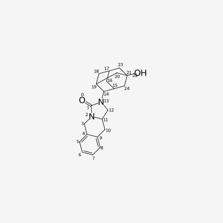 O=C1N2Cc3ccccc3CC2CN1C1C2CC3CC1CC(O)(C3)C2